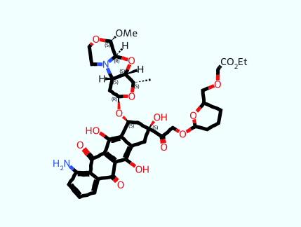 CCOC(=O)COCC1CCCC(OCC(=O)[C@]2(O)Cc3c(O)c4c(c(O)c3[C@@H](O[C@H]3C[C@H]5[C@H](O[C@@H]6[C@@H](OC)OCCN65)[C@H](C)O3)C2)C(=O)c2c(N)cccc2C4=O)O1